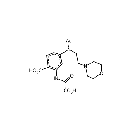 CC(=O)N(CCN1CCOCC1)c1ccc(C(=O)O)c(NC(=O)C(=O)O)c1